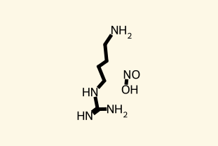 N=C(N)NCCCCN.O=NO